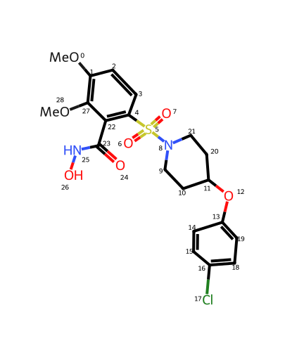 COc1ccc(S(=O)(=O)N2CCC(Oc3ccc(Cl)cc3)CC2)c(C(=O)NO)c1OC